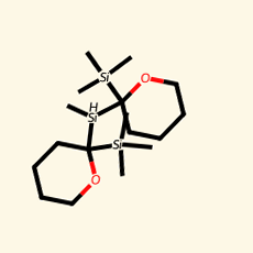 C[SiH](C1([Si](C)(C)C)CCCCO1)C1([Si](C)(C)C)CCCCO1